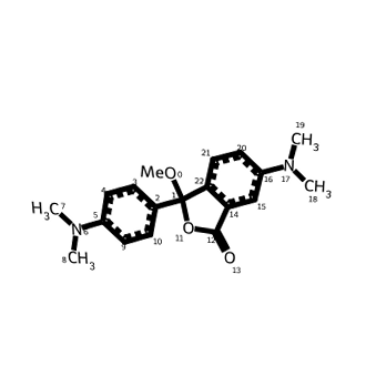 COC1(c2ccc(N(C)C)cc2)OC(=O)c2cc(N(C)C)ccc21